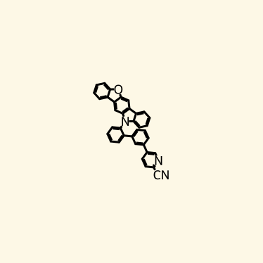 N#Cc1ccc(-c2cccc(-c3ccccc3-n3c4ccccc4c4cc5oc6ccccc6c5cc43)c2)cn1